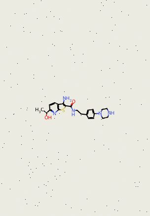 C[C@H](O)c1ccc2c(N)c(C(=O)NCCc3ccc(N4CCNCC4)cc3)sc2n1